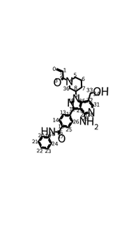 C=CC(=O)N1CCCC(n2nc(-c3ccc(C(=O)Nc4ccccc4)cc3)c3c(N)ncc(CO)c32)C1